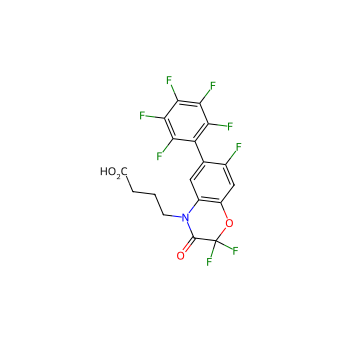 O=C(O)CCCN1C(=O)C(F)(F)Oc2cc(F)c(-c3c(F)c(F)c(F)c(F)c3F)cc21